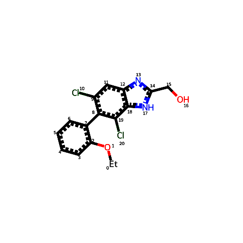 CCOc1ccccc1-c1c(Cl)cc2nc(CO)[nH]c2c1Cl